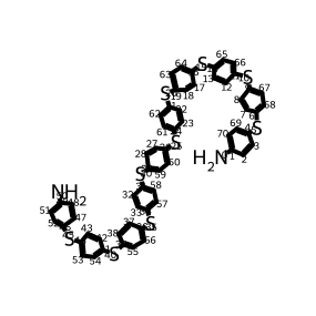 Nc1ccc(Sc2ccc(Sc3ccc(Sc4ccc(Sc5ccc(Sc6ccc(Sc7ccc(Sc8ccc(Sc9ccc(Sc%10ccc(N)cc%10)cc9)cc8)cc7)cc6)cc5)cc4)cc3)cc2)cc1